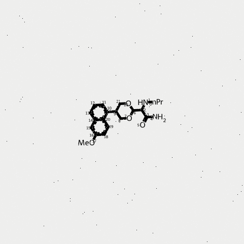 CCCNC(C(N)=O)C1OCC(c2cccc3cc(OC)ccc23)CO1